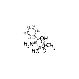 CS(=O)(=O)C(O)C(N)C(O)c1ccccc1